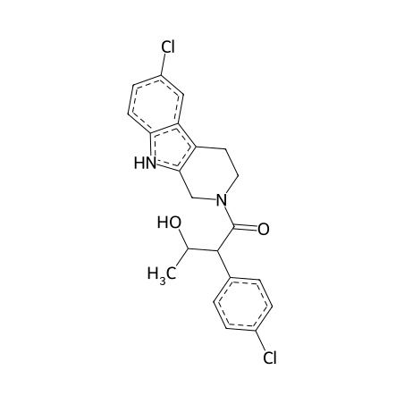 CC(O)C(C(=O)N1CCc2c([nH]c3ccc(Cl)cc23)C1)c1ccc(Cl)cc1